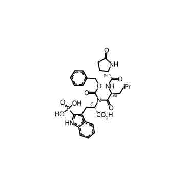 CC(C)C[C@H](NC(=O)[C@@H]1CCC(=O)N1)C(=O)N(C(=O)OCc1ccccc1)[C@@H](Cc1c(P(=O)(O)O)[nH]c2ccccc12)C(=O)O